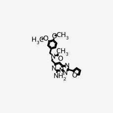 COc1ccc(CN(Cc2cc3nc(-c4ccco4)nn3c(N)n2)C(C)=O)cc1OC